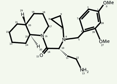 COc1ccc(CN(C2CC2)[C@H](CCN)C(=O)N2CCC[C@H]3CCCC[C@@H]32)c(OC)c1